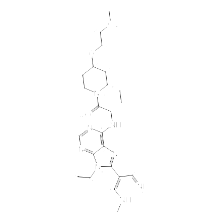 CC[C@H](Nc1ncnc2c1nc(/C(C=N)=C/NC)n2CC)C(=O)N1CCC(OCCOC)CC1